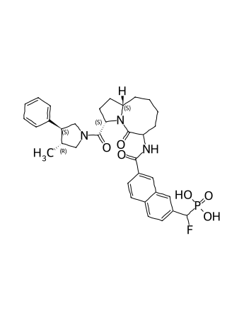 C[C@H]1CN(C(=O)[C@@H]2CC[C@@H]3CCCCC(NC(=O)c4ccc5ccc(C(F)P(=O)(O)O)cc5c4)C(=O)N32)C[C@@H]1c1ccccc1